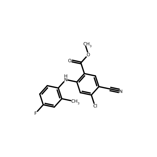 COC(=O)c1cc(C#N)c(Cl)cc1Nc1ccc(F)cc1C